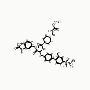 CCN(CC)S(=O)(=O)c1ccc(-c2ccc(C[C@H](NC(=O)[C@H]3CC[C@H](CNC(=O)OC(C)(C)C)CC3)C(=O)Nc3ccc4[nH]c(=O)[nH]c4c3)cc2)c(C)c1